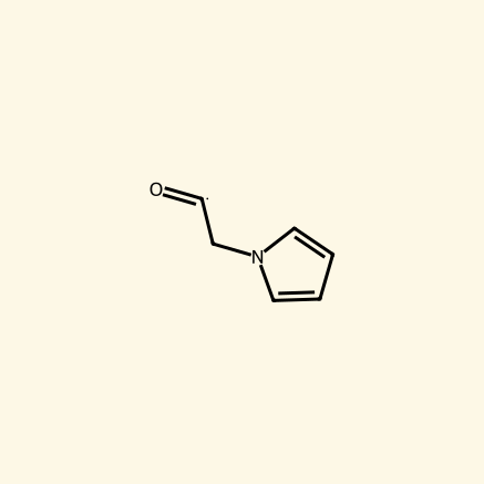 O=[C]Cn1cccc1